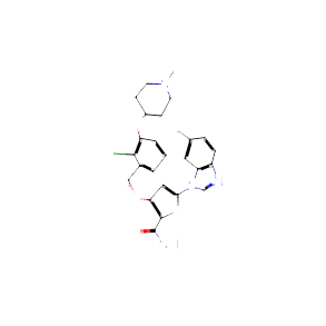 C[C@@H](Oc1cc(-n2cnc3ccc(Cl)cc32)sc1C(N)=O)c1cccc(OC2CCN(C)CC2)c1Cl